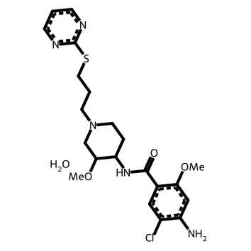 COc1cc(N)c(Cl)cc1C(=O)NC1CCN(CCCSc2ncccn2)CC1OC.O